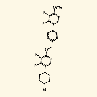 CCC1CCC(c2ccc(OCc3ccc(-c4ccc(OC)c(F)c4F)cc3)c(F)c2F)CC1